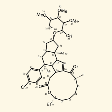 CC[C@H]1CCCC[C@@H](C)C(=O)C2=CC3C(C(c4ccc(Cl)cc4)CC4C[C@@H](OC(O)C(OC)C(OC)C(OC)C(C)C)C[C@H]43)[C@@H]2CC(=O)O1